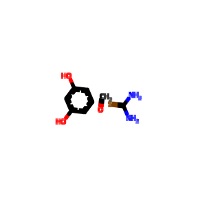 C=O.NC(N)=S.Oc1cccc(O)c1